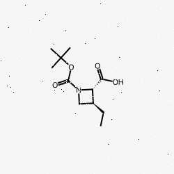 CC[C@H]1CN(C(=O)OC(C)(C)C)[C@@H]1C(=O)O